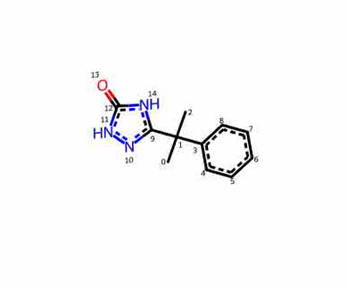 CC(C)(c1ccccc1)c1n[nH]c(=O)[nH]1